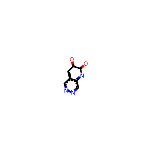 O=C1C=c2cnncc2=NC1=O